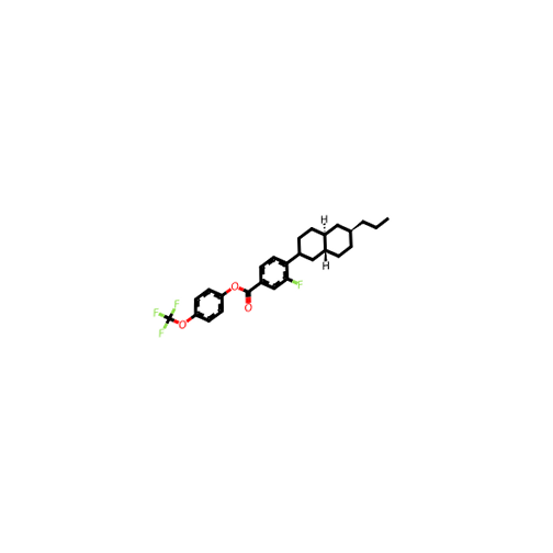 CCC[C@H]1CC[C@@H]2CC(c3ccc(C(=O)Oc4ccc(OC(F)(F)F)cc4)cc3F)CC[C@H]2C1